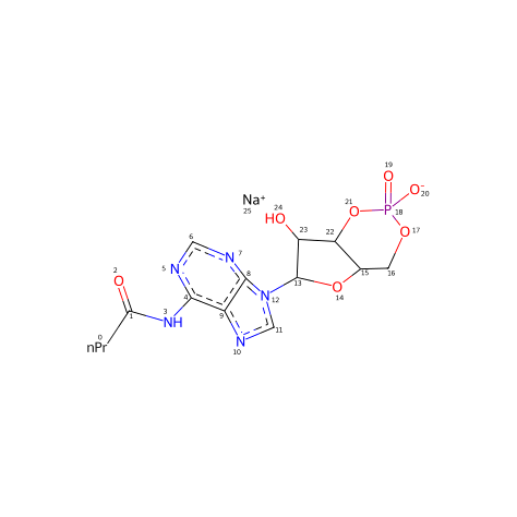 CCCC(=O)Nc1ncnc2c1ncn2C1OC2COP(=O)([O-])OC2C1O.[Na+]